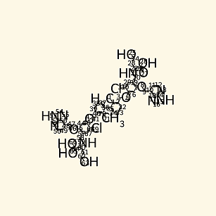 Cc1c(COc2cc(OCc3ccnc4[nH]cnc34)c(CNC(CCO)C(=O)O)cc2Cl)cccc1-c1cccc(COc2cc(OCc3ccnc4[nH]cnc34)c(CNC(CCO)C(O)O)cc2Cl)c1C